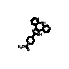 CC(=O)N1CCC(c2nc3c([nH]2)-c2ccncc2Nc2ncccc2-3)CC1